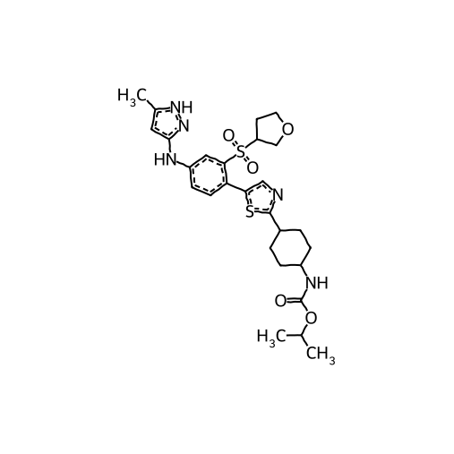 Cc1cc(Nc2ccc(-c3cnc(C4CCC(NC(=O)OC(C)C)CC4)s3)c(S(=O)(=O)C3CCOC3)c2)n[nH]1